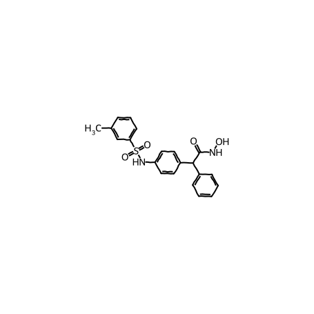 Cc1cccc(S(=O)(=O)Nc2ccc(C(C(=O)NO)c3ccccc3)cc2)c1